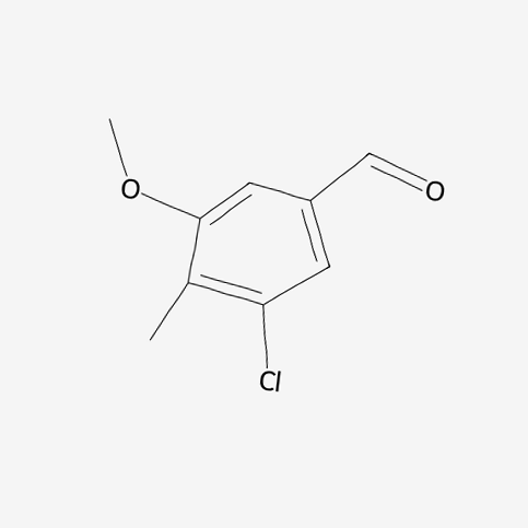 COc1cc(C=O)cc(Cl)c1C